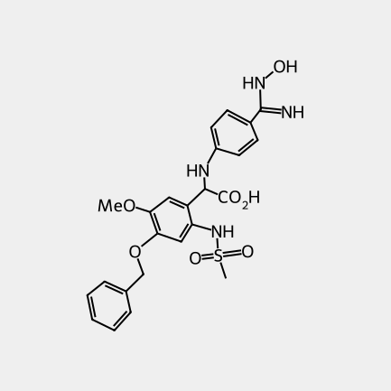 COc1cc(C(Nc2ccc(C(=N)NO)cc2)C(=O)O)c(NS(C)(=O)=O)cc1OCc1ccccc1